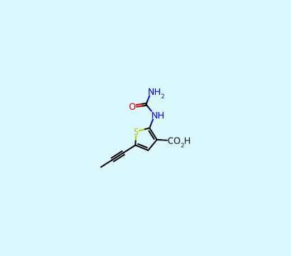 CC#Cc1cc(C(=O)O)c(NC(N)=O)s1